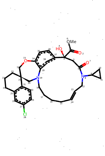 COC(=O)[C@]1(O)CC(=O)N(C2CC2)C/C=C/CCCCN2C[C@@]3(CCCc4cc(Cl)ccc43)COc3ccc1cc32